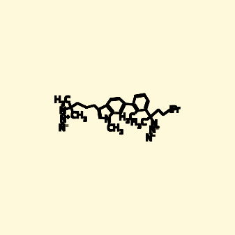 Cc1c(-c2ccc3c(CCCC(C)(C)N=[N+]=[N-])cn(C)c3c2)cccc1C(C)(CCC(C)C)N=[N+]=[N-]